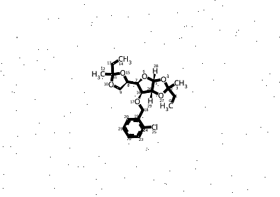 CCC1(C)O[C@H]2O[C@H]([C@H]3COC(C)(CC)O3)[C@H](OCc3ccccc3Cl)[C@H]2O1